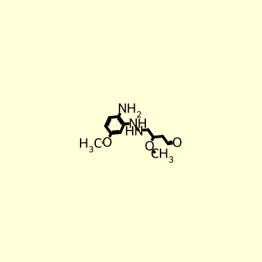 COc1ccc(N)c(NNCC(CC=O)OC)c1